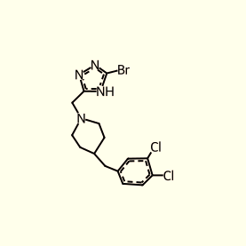 Clc1ccc(CC2CCN(Cc3nnc(Br)[nH]3)CC2)cc1Cl